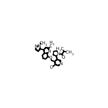 Cc1cc(-c2ccnn2C)c2cccc(OCc3c(Cl)cncc3C3CCCN3C(=O)C(C)C)c2n1